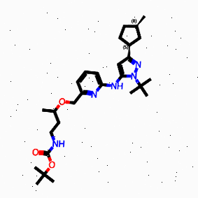 CC(CCNC(=O)OC(C)(C)C)OCc1cccc(Nc2cc([C@H]3CC[C@@H](C)C3)nn2C(C)(C)C)n1